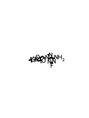 CC(C)(C)[Si](C)(C)OC[C@@]1(C)O[C@@H](n2cnc3c(N)nc(F)nc32)CC1=O